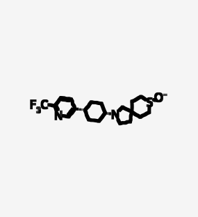 [O-][S+]1CCC2(CCN([C@H]3CC[C@@H](c4ccc(C(F)(F)F)nc4)CC3)C2)CC1